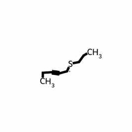 CCC#C[CH]SCCC